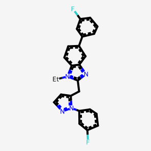 CCn1c(Cc2ccnn2-c2cccc(F)c2)nc2cc(-c3cccc(F)c3)ccc21